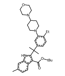 CCc1ccc(C(C)(C)c2[nH]c3cc(C)ccc3c2C(=O)OC(C)(C)C)cc1N1CCC(N2CCOCC2)CC1